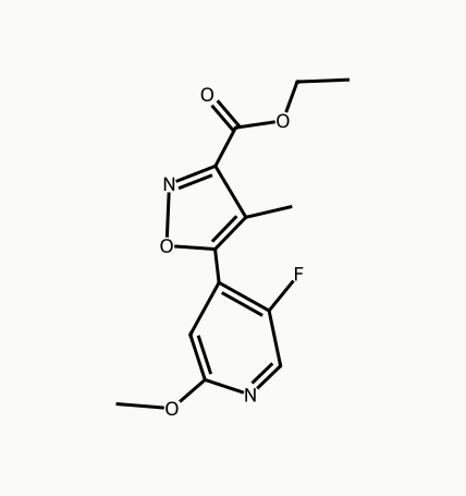 CCOC(=O)c1noc(-c2cc(OC)ncc2F)c1C